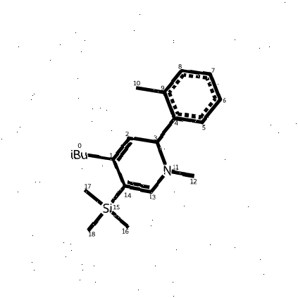 CCC(C)C1=CC(c2ccccc2C)N(C)C=C1[Si](C)(C)C